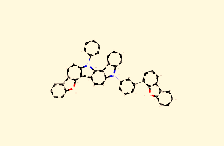 c1ccc(-n2c3ccc4c5ccccc5oc4c3c3ccc4c(c5ccccc5n4-c4cccc(-c5cccc6c5oc5ccccc56)c4)c32)cc1